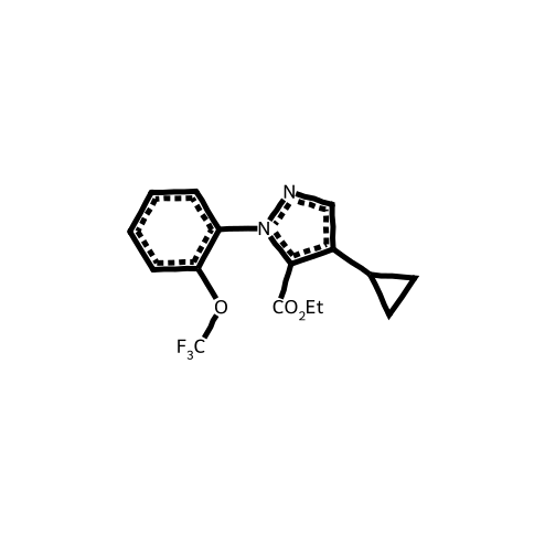 CCOC(=O)c1c(C2CC2)cnn1-c1ccccc1OC(F)(F)F